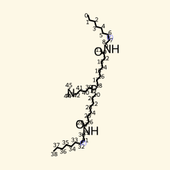 CCCCCC/C=C\CNC(=O)CCCCCCCP(CCCCCCCC(=O)NC/C=C\CCCCCC)CCCCN(C)C